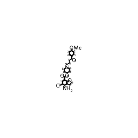 COc1ccc(C(=O)CCCN2CCC(OC(=O)c3cc(Cl)c(N)c4c3OCC4)CC2)cc1